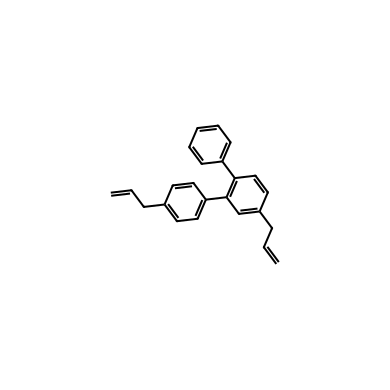 C=CCc1ccc(-c2cc(CC=C)ccc2-c2ccccc2)cc1